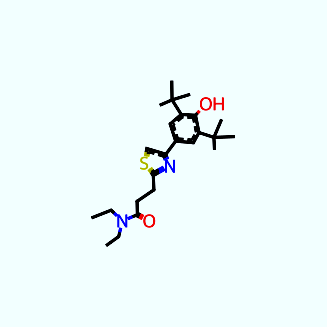 CCN(CC)C(=O)CCc1nc(-c2cc(C(C)(C)C)c(O)c(C(C)(C)C)c2)cs1